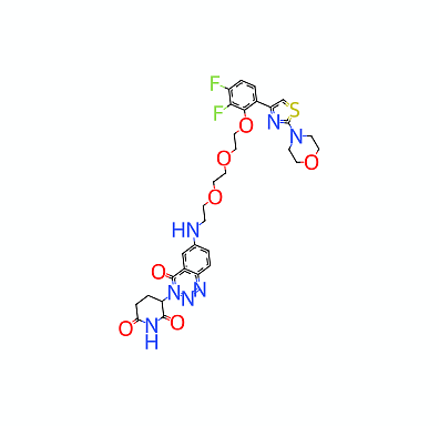 O=C1CCC(n2nnc3ccc(NCCOCCOCCOc4c(-c5csc(N6CCOCC6)n5)ccc(F)c4F)cc3c2=O)C(=O)N1